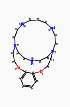 c1ccc2c(c1)OCCN1CCNCCCNCCN(CCNCC1)CCO2